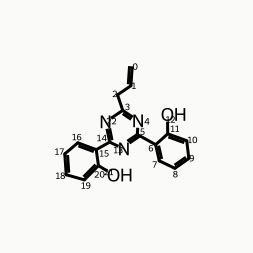 C=CCc1nc(-c2ccccc2O)nc(-c2ccccc2O)n1